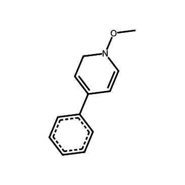 CON1C=CC(c2ccccc2)=CC1